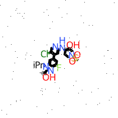 CC(C)n1c([C@@H](C)O)nc2c(F)cc(-c3cc(N[C@@H]4CCN(S(C)(=O)=O)C[C@H]4O)ncc3Cl)cc21